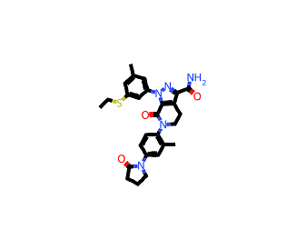 CCSc1cc(C)cc(-n2nc(C(N)=O)c3c2C(=O)N(c2ccc(N4CCCC4=O)cc2C)CC3)c1